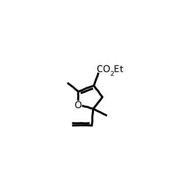 C=CC1(C)CC(C(=O)OCC)=C(C)O1